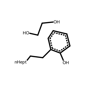 CCCCCCCCCc1ccccc1O.OCCO